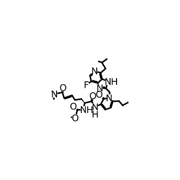 CCCc1ccc(NC(=O)[C@H](CC/C=C/C(=O)N(C)C)NC(=O)OC)c(=O)n1Cc1nc2c(F)cnc(CC(C)C)c2[nH]1